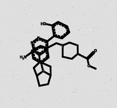 COC(=O)C1CCN(Cc2cccc(N3C4CCC3CN(c3cc(-c5ccccc5O)nnc3N)C4)c2)CC1